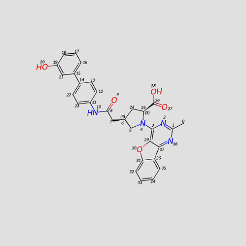 Cc1nc(N2C[C@@H](CC(=O)Nc3ccc(-c4cccc(O)c4)cc3)C[C@H]2C(=O)O)c2oc3ccccc3c2n1